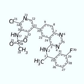 CC(Nc1ncnc2ccc(-c3cnc(Cl)c(NS(C)(=O)=O)c3)cc12)c1cccc(F)c1